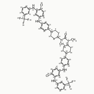 CC(C(=O)C(C)N1CCN(c2ccc(Nc3ncc(Cl)c(Nc4cccc(C(F)(F)F)c4)n3)nc2)CC1)N1CCN(c2ccc(Nc3ncc(Cl)c(Nc4cccc(C(F)(F)F)c4)n3)nc2)CC1